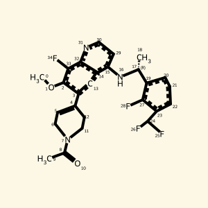 COc1c(C2=CCN(C(C)=O)CC2)cc2c(N[C@H](C)c3cccc(C(F)F)c3F)ccnc2c1F